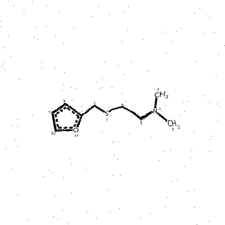 CN(C)CCSCc1ccco1